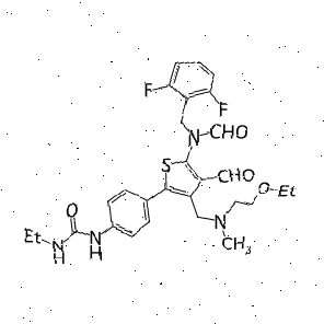 CCNC(=O)Nc1ccc(-c2sc(N(C=O)Cc3c(F)cccc3F)c(C=O)c2CN(C)CCOCC)cc1